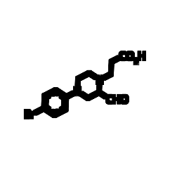 O=CC1CN(c2ccc(Br)cc2)CCN1CCC(=O)O